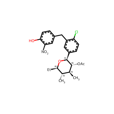 CC[C@H]1O[C@@H](c2ccc(Cl)c(Cc3ccc(O)c([N+](=O)[O-])c3)c2)[C@H](OC(C)=O)[C@@H](C)[C@@H]1C